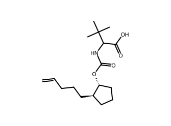 C=CCCC[C@@H]1CCC[C@H]1OC(=O)NC(C(=O)O)C(C)(C)C